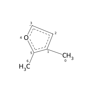 Cc1c[c]oc1C